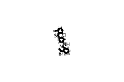 Cc1ccccc1C(=S)c1ccc(Nc2ncc(Br)c3ccccc23)cc1Cl